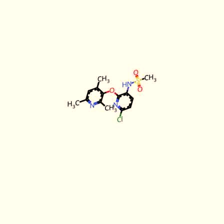 Cc1cc(C)c(Oc2nc(Cl)ccc2NS(C)(=O)=O)c(C)n1